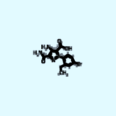 CCc1cc(Br)ccc1-n1nc(C(N)=O)c(N)c1C(=O)O